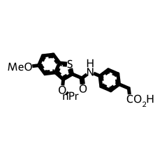 CCCOc1c(C(=O)Nc2ccc(CC(=O)O)cc2)sc2ccc(OC)cc12